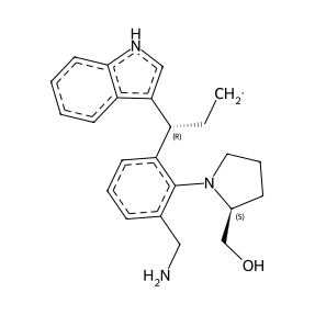 [CH2]C[C@H](c1cccc(CN)c1N1CCC[C@H]1CO)c1c[nH]c2ccccc12